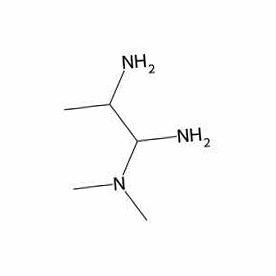 CC(N)C(N)N(C)C